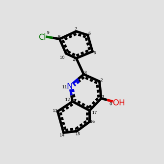 Oc1cc(-c2cccc(Cl)c2)nc2ccccc12